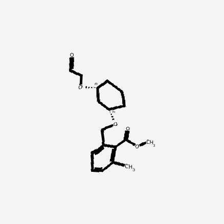 COC(=O)c1c(C)cccc1CO[C@H]1CCC[C@@H](OCC=O)C1